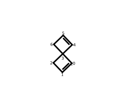 [C]1=CCC12C=CC2